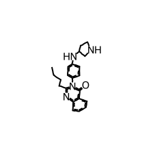 CCCCc1nc2ccccc2c(=O)n1-c1ccc(NC2CCNC2)cc1